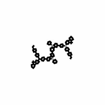 C=Cc1ccc(-c2ccc(C(c3ccc(-c4ccc5c(c4)c4cc(-c6ccc7c(c6)c6cc(-c8ccc(N(c9ccc(-c%10ccc(C=C)cc%10)cc9)c9ccc%10c(c9)C(C)(C)c9ccccc9-%10)cc8)ccc6n7-c6ccccc6)ccc4n5-c4ccccc4)cc3)c3ccc4c(c3)C(C)(C)c3ccccc3-4)cc2)cc1